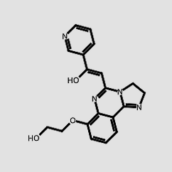 OCCOc1cccc2c1N=C(/C=C(\O)c1cccnc1)N1CCN=C21